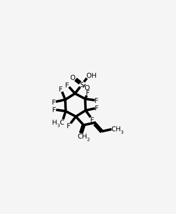 C=C(/C=C/C)C1(F)C(C)(F)C(F)(F)C(F)(S(=O)(=O)O)C(F)(F)C1(F)F